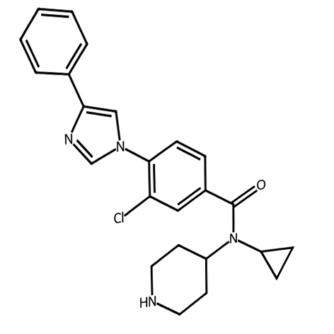 O=C(c1ccc(-n2cnc(-c3ccccc3)c2)c(Cl)c1)N(C1CCNCC1)C1CC1